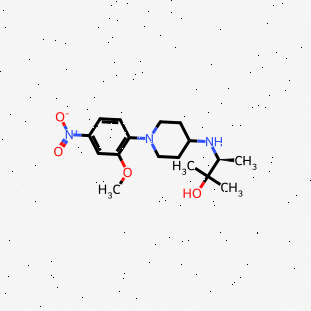 COc1cc([N+](=O)[O-])ccc1N1CCC(N[C@@H](C)C(C)(C)O)CC1